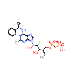 CC/C=C(/COP(=O)(O)CP(=O)(O)O)[C@@H](O)[C@H](F)[C@@H](O)n1cnc2c(N[C@H](C)c3ccccc3)nc(Cl)nc21